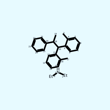 CCNCC.Cc1ccccc1C(c1ccccc1C)C(C)c1ccccc1